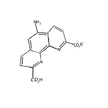 Nc1cc2ccc(C(=O)O)nc2c2nc(C(=O)O)ccc12